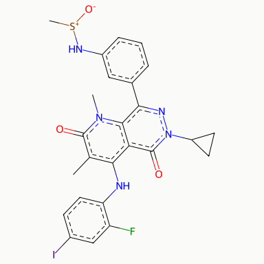 Cc1c(Nc2ccc(I)cc2F)c2c(=O)n(C3CC3)nc(-c3cccc(N[S+](C)[O-])c3)c2n(C)c1=O